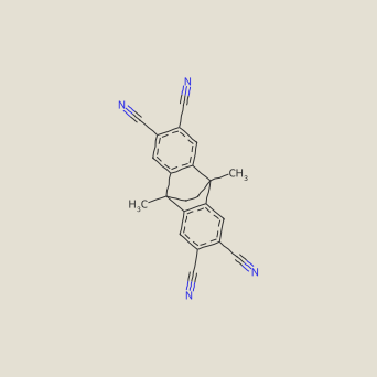 CC12CCC(C)(c3cc(C#N)c(C#N)cc31)c1cc(C#N)c(C#N)cc12